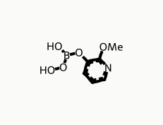 COc1ncccc1OB(O)OO